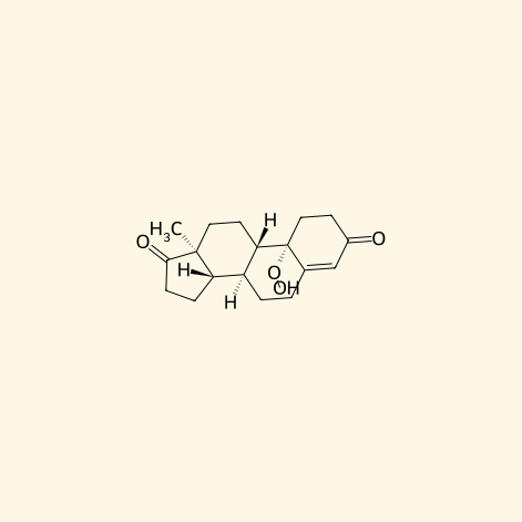 C[C@]12CC[C@H]3[C@@H](CCC4=CC(=O)CC[C@@]43OO)[C@@H]1CCC2=O